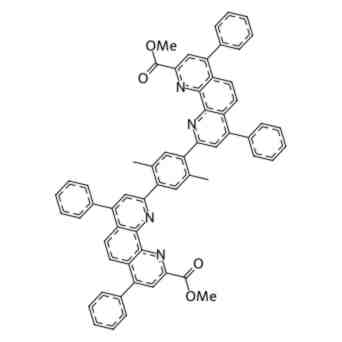 COC(=O)c1cc(-c2ccccc2)c2ccc3c(-c4ccccc4)cc(-c4cc(C)c(-c5cc(-c6ccccc6)c6ccc7c(-c8ccccc8)cc(C(=O)OC)nc7c6n5)cc4C)nc3c2n1